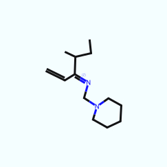 C=C/C(=N\CN1CCCCC1)C(C)CC